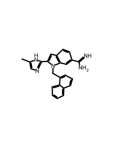 Cc1cnc(-c2cc3ccc(C(=N)N)cc3n2Cc2cccc3ccccc23)[nH]1